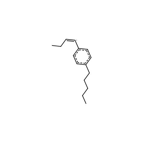 CC/C=[C]\c1ccc(CCCCC)cc1